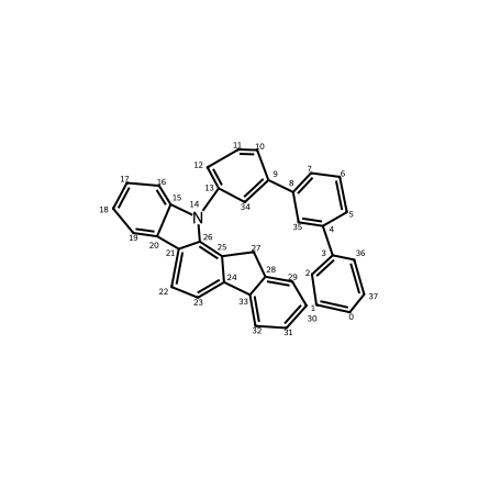 c1ccc(-c2cccc(-c3cccc(-n4c5ccccc5c5ccc6c(c54)Cc4ccccc4-6)c3)c2)cc1